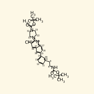 CC(C)(C)OC(=O)NCCc1cccc(-c2ccc3nc(N4CCN(C(=O)OC(C)(C)C)CC4)c(Cl)cc3c2)c1